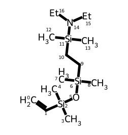 C=C[Si](C)(C)O[Si](C)(C)CC[Si](C)(C)N(CC)CC